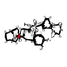 NC(Cc1cc(F)c(F)cc1F)C1CC2CCC(C1)N2C(=O)CCNS(=O)(=O)c1ccc2c(c1)OCCO2